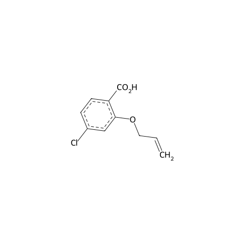 C=CCOc1cc(Cl)ccc1C(=O)O